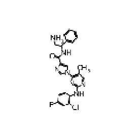 Cc1cnc(Nc2ccc(F)cc2Cl)nc1-n1cnc(C(=O)NC(CN)c2ccccc2)c1